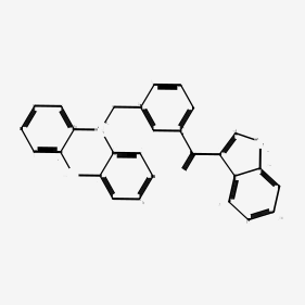 O=C(c1cccc(CN2c3ccccc3Sc3ccccc32)c1)c1c[nH]c2ccccc12